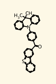 CC1(C)c2ccccc2N(c2ccc(C(=O)c3ccc4sc5ccccc5c4c3)cc2)c2ccccc21